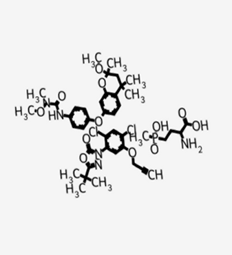 C#CCOc1cc(-n2nc(C(C)(C)C)oc2=O)c(Cl)cc1Cl.CON(C)C(=O)Nc1ccc(Oc2ccc3c(c2)OC(C)(OC)CC3(C)C)cc1.CP(=O)(O)CCC(N)C(=O)O